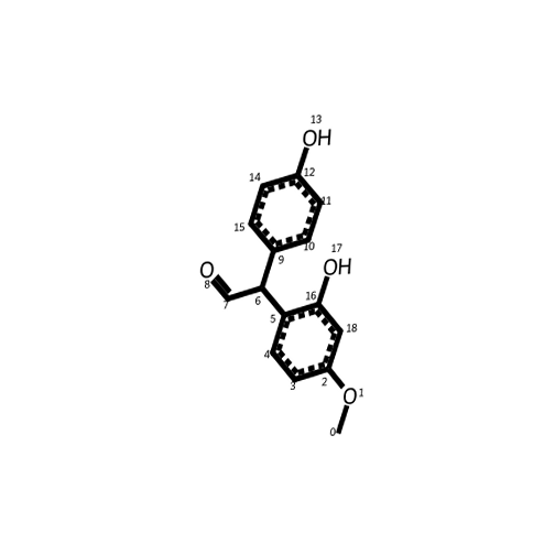 COc1ccc(C(C=O)c2ccc(O)cc2)c(O)c1